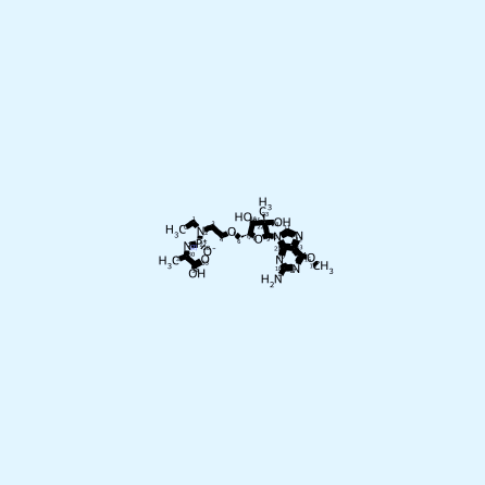 CCN(CCOC[C@H]1OC(n2cnc3c(OC)nc(N)nc32)[C@](C)(O)[C@@H]1O)/[P+]([O-])=N/C(C)C(=O)O